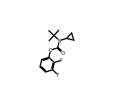 CC(C)(C)N(C(=O)Oc1cccc(F)c1F)C1CC1